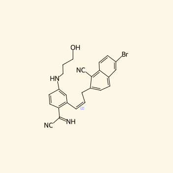 N#CC(=N)c1ccc(NCCCO)cc1/C=C\Cc1ccc2cc(Br)ccc2c1C#N